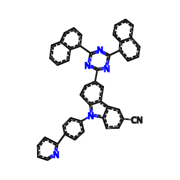 N#Cc1ccc2c(c1)c1cc(-c3nc(-c4cccc5ccccc45)nc(-c4cccc5ccccc45)n3)ccc1n2-c1ccc(-c2ccccn2)cc1